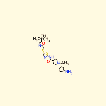 CC(c1cccc(N)c1)N1CCC(C(=O)Nc2ncc(SCc3ncc(C(C)(C)C)o3)s2)CC1